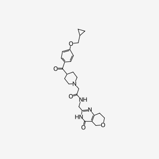 O=C(CN1CCC(C(=O)c2ccc(OCC3CC3)cc2)CC1)NCc1nc2c(c(=O)[nH]1)COCC2